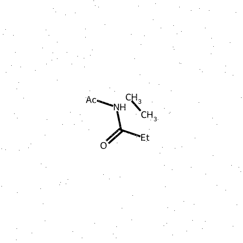 CC.CCC(=O)NC(C)=O